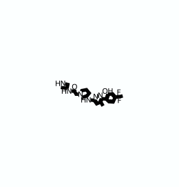 Cc1cc(N[C@@H]2CCCN(CC(=O)NC3CNC3)C2)nnc1-c1ccc(C(C)(F)F)cc1O